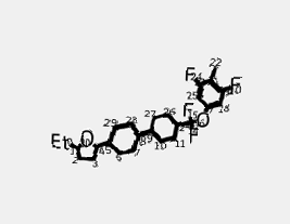 CCC1CCC(C2CCC(C3CCC(C(F)(F)Oc4cc(F)c(C)c(F)c4)CC3)CC2)O1